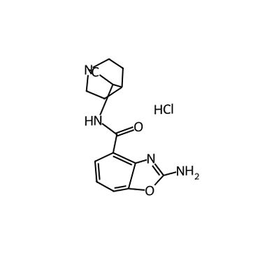 Cl.Nc1nc2c(C(=O)NC3CN4CCC3CC4)cccc2o1